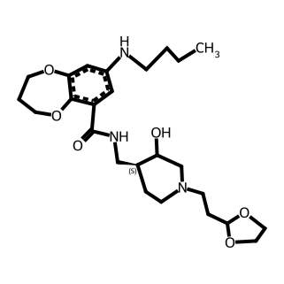 CCCCNc1cc2c(c(C(=O)NC[C@@H]3CCN(CCC4OCCO4)CC3O)c1)OCCCO2